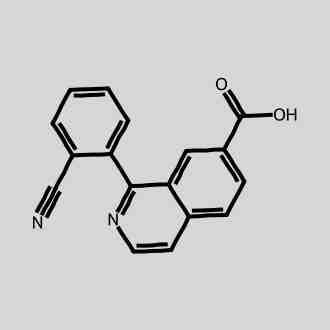 N#Cc1ccccc1-c1nccc2ccc(C(=O)O)cc12